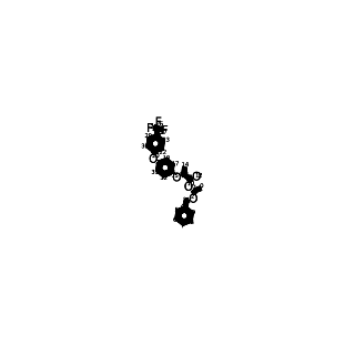 CC(OCc1ccccc1)OC(=O)C(C)Oc1ccc(Oc2ccc(C(F)(F)F)cc2)cc1